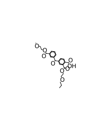 CCCOCCOC(=O)c1cc(C(=O)c2cccc(C(=O)OCCOC)c2)ccc1C(=O)O